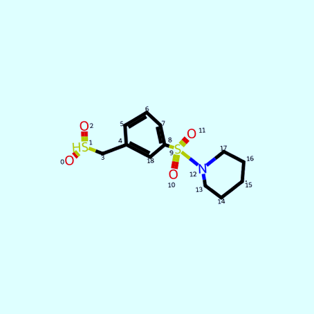 O=[SH](=O)Cc1cccc(S(=O)(=O)N2CC[CH]CC2)c1